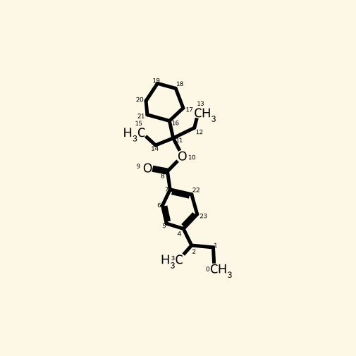 CCC(C)c1ccc(C(=O)OC(CC)(CC)C2CCCCC2)cc1